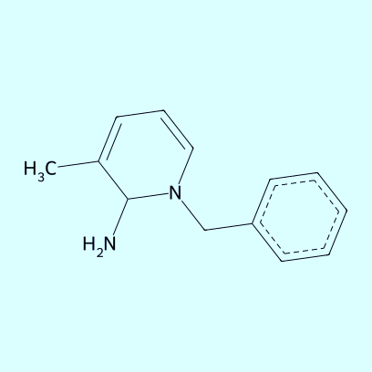 CC1=CC=CN(Cc2ccccc2)C1N